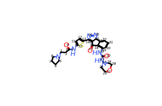 O=C(CCN1CCCC1)Nc1ccc(C2=C3C(=O)c4c(NC(=O)NN5CCOCC5)cccc4C3N=N2)s1